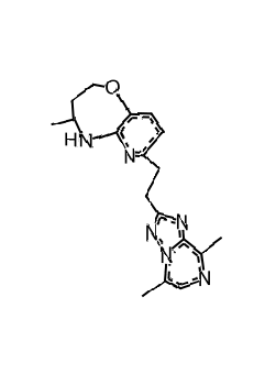 Cc1ncc(C)n2nc(CCc3ccc4c(n3)NC(C)CCO4)nc12